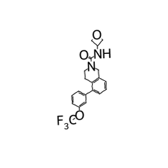 O=C(NC1COC1)N1CCc2c(cccc2-c2cccc(OC(F)(F)F)c2)C1